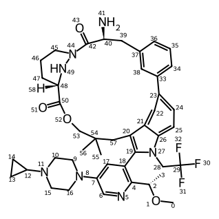 CO[C@@H](C)c1ncc(N2CCN(C3CC3)CC2)cc1-c1c2c3cc(ccc3n1CC(F)(F)F)-c1cccc(c1)C[C@H](N)C(=O)N1CCC[C@H](N1)C(=O)OCC(C)(C)C2